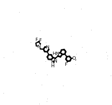 COc1cc(F)cc(-c2cccc3[nH]c(-c4n[nH]c5ccc(-c6cncc(CN7CCC(F)(F)C7)c6)cc45)cc23)c1